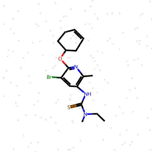 CCN(C)C(=S)Nc1cc(Br)c(OC2CC=CCC2)nc1C